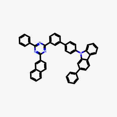 c1ccc(-c2ccc3c4ccccc4n(-c4ccc(-c5cccc(-c6nc(-c7ccccc7)nc(-c7ccc8ccccc8c7)n6)c5)cc4)c3c2)cc1